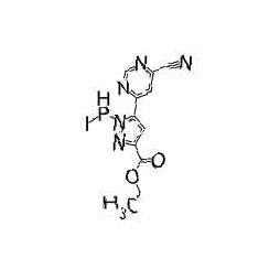 CCOC(=O)c1cc(-c2cc(C#N)ncn2)n(PI)n1